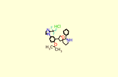 CC(C)Oc1ccc(-n2ccnc2C(F)(F)F)cc1C1COC2(CCCNC2c2ccccc2)C1.Cl